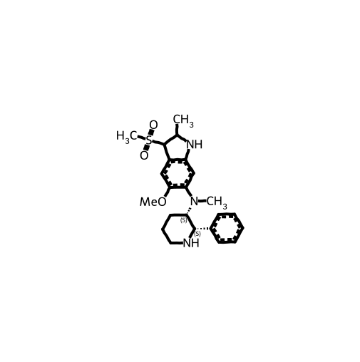 COc1cc2c(cc1N(C)[C@H]1CCCN[C@H]1c1ccccc1)NC(C)C2S(C)(=O)=O